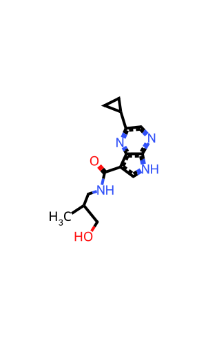 CC(CO)CNC(=O)c1c[nH]c2ncc(C3CC3)nc12